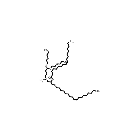 CCCCCCCC/C=C\CCCCCCCCOCC(C[N+](C)(C)CCCC(OCCOCCO)OCCOCCO)OCCCCCCCC/C=C\CCCCCCCC